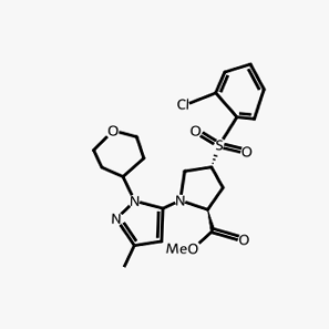 COC(=O)[C@@H]1C[C@@H](S(=O)(=O)c2ccccc2Cl)CN1c1cc(C)nn1C1CCOCC1